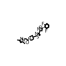 Cc1cc(C)n(CC(=O)N2CCC(c3nc(C4=NO[C@@H](c5c(F)cccc5F)C4)cs3)CC2)n1